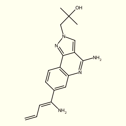 C=C/C=C(\N)c1ccc2c(c1)nc(N)c1cn(CC(C)(C)O)nc12